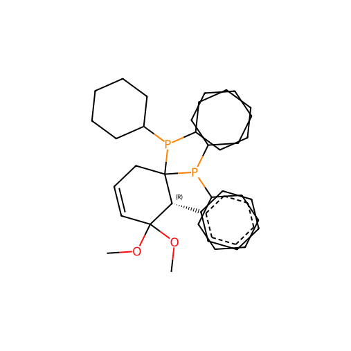 COC1(OC)C=CCC(P(C2CCCCC2)C2CCCCC2)(P(C2CCCCC2)C2CCCCC2)[C@@H]1c1ccccc1